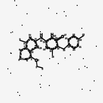 CCOc1cccc2c(C)nc(Nc3nc(C)c(Cc4ccc(C)cc4)c(=O)[nH]3)nc12